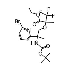 CCOC(=O)C(C)(OCC(C)(NC(=O)OC(C)(C)C)c1cccc(Br)n1)C(F)(F)F